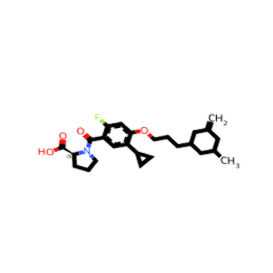 C=C1CC(C)CC(CCCOc2cc(F)c(C(=O)N3CCC[C@H]3C(=O)O)cc2C2CC2)C1